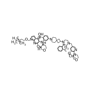 COc1cc(CN2CCN(C3CC4(CCN(c5ccc(C(=O)O)c(N6c7cc8ccn(COCC[Si](C)(C)C)c8nc7O[C@H]7COCC[C@@H]76)c5)CC4)C3)[C@H](c3ccccc3C)C2)cnc1N1CCOCC1